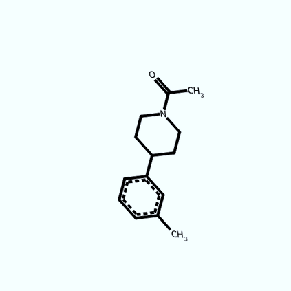 CC(=O)N1CCC(c2cccc(C)c2)CC1